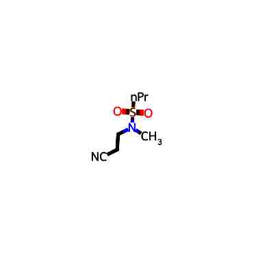 CCCS(=O)(=O)N(C)CCC#N